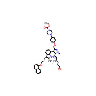 CCOC(=O)c1[nH]c2c(-c3c(COc4ccc(N5CCN(C(=O)OC(C)(C)C)CC5)cc4)nn(C)c3/C=C/CCCCO)cccc2c1CCCOc1cccc2ccccc12